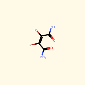 NC(=O)/C(Br)=C(/Br)C(N)=O